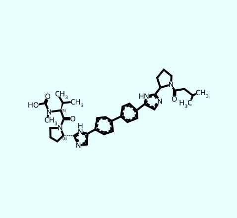 CC(C)CC(=O)N1CCCC1c1ncc(-c2ccc(-c3ccc(-c4cnc([C@@H]5CCCN5C(=O)[C@H](C(C)C)N(C)C(=O)O)[nH]4)cc3)cc2)[nH]1